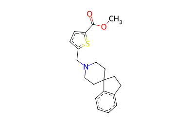 COC(=O)c1ccc(CN2CCC3(CCc4ccccc43)CC2)s1